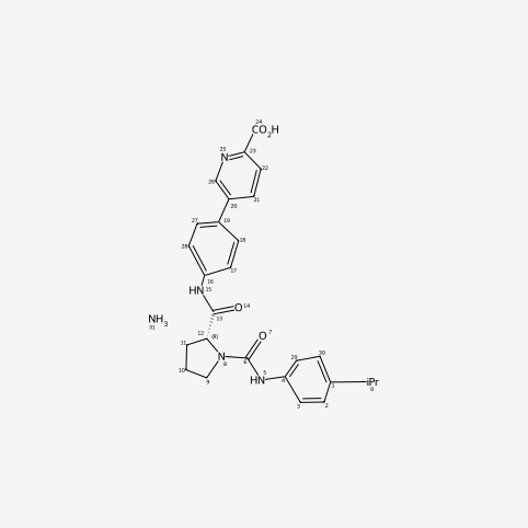 CC(C)c1ccc(NC(=O)N2CCC[C@@H]2C(=O)Nc2ccc(-c3ccc(C(=O)O)nc3)cc2)cc1.N